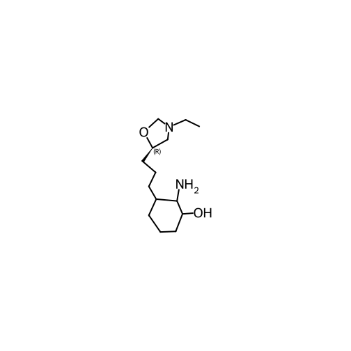 CCN1CO[C@H](CCCC2CCCC(O)C2N)C1